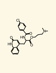 CN(C)CCCOC(=O)C(Cc1cc(=O)[nH]c2ccccc12)NC(=O)c1ccc(Cl)cc1